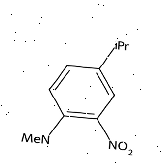 CNc1ccc(C(C)C)cc1[N+](=O)[O-]